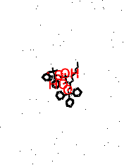 CCCCCCC(COC(c1ccccc1)(c1ccccc1)c1ccccc1)C(O)C(C)(O)CO[Si](c1ccccc1)(c1ccccc1)C(C)(C)C